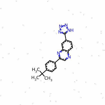 CC(C)(C)c1ccc(-c2cnc3ccc(-c4nnn[nH]4)cc3n2)cc1